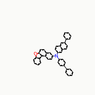 c1ccc(-c2ccc(N(c3ccc4cc(-c5ccccc5)ccc4c3)c3ccc4c(ccc5oc6ccccc6c54)c3)cc2)cc1